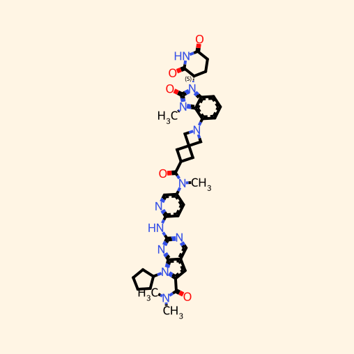 CN(C)C(=O)c1cc2cnc(Nc3ccc(N(C)C(=O)C4CC5(C4)CN(c4cccc6c4n(C)c(=O)n6[C@H]4CCC(=O)NC4=O)C5)cn3)nc2n1C1CCCC1